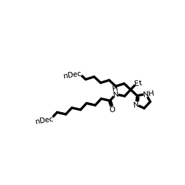 CCCCCCCCCCCCCCCCCC(=O)NCC(CC)(CCCCCCCCCCCCCCCC)C1=NCCN1